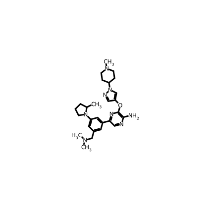 CC1CCCN1c1cc(CN(C)C)cc(-c2cnc(N)c(Oc3cnn(C4CCN(C)CC4)c3)n2)c1